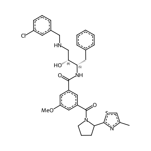 COc1cc(C(=O)N[C@@H](Cc2ccccc2)[C@H](O)CNCc2cccc(Cl)c2)cc(C(=O)N2CCCC2c2nc(C)cs2)c1